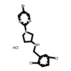 Cl.Clc1ccc(Cl)c(CNC2CCN(c3ncc(Br)cn3)C2)c1